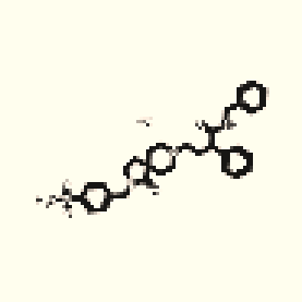 CS(=O)(=O)c1ccc(CN2CCC3(CCN(CCC(C(=O)NCc4ccccc4)c4ccccc4)CC3)C2=O)cc1.Cl